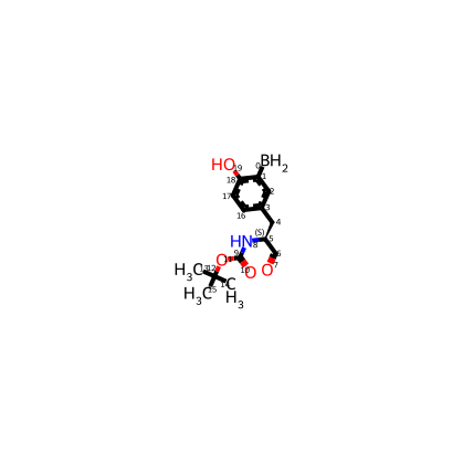 Bc1cc(C[C@@H](C=O)NC(=O)OC(C)(C)C)ccc1O